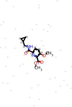 COC(=O)c1nc(C(=O)NCC2CC2)ccc1OC